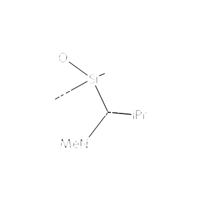 CNC(C(C)C)[Si](C)(C)[O]